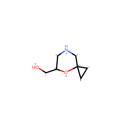 OCC1CNCC2(CC2)O1